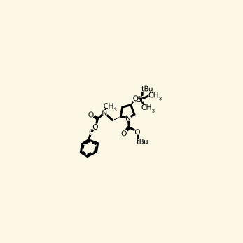 CN(C[C@@H]1C[C@@H](O[Si](C)(C)C(C)(C)C)CN1C(=O)OC(C)(C)C)C(=O)OCc1ccccc1